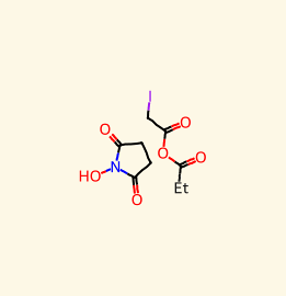 CCC(=O)OC(=O)CI.O=C1CCC(=O)N1O